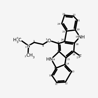 CN(C)CCOc1c2[nH]c3ccccc3c2c(F)c2[nH]c3ccccc3c12